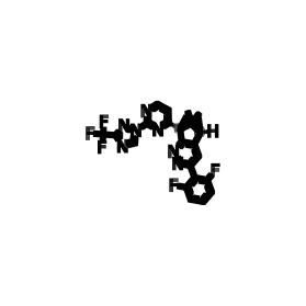 CC1(C)[C@H]2CC[C@]1(c1ccnc(-n3cnc(C(F)(F)F)n3)n1)c1nnc(-c3c(F)cccc3F)cc12